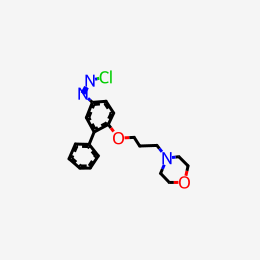 Cl/N=N\c1ccc(OCCCN2CCOCC2)c(-c2ccccc2)c1